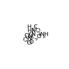 Cc1ccc(C(=O)NC2CC2)cc1Nc1ccn2c(n1)c(C1CC1)c(=O)n2-c1c(Cl)cccc1Cl